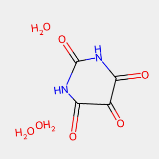 O.O.O.O=C1NC(=O)C(=O)C(=O)N1